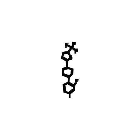 Cc1ccc(-c2ccc(-c3ccc(C(F)(F)F)s3)cc2)c(F)c1